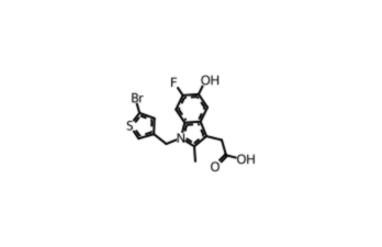 Cc1c(CC(=O)O)c2cc(O)c(F)cc2n1Cc1csc(Br)c1